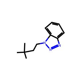 CC(C)(C)CCn1nnc2ccccc21